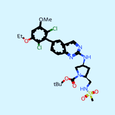 CCOc1cc(OC)c(Cl)c(-c2ccc3nc(N[C@H]4C[C@@H](CNS(C)(=O)=O)N(C(=O)OC(C)(C)C)C4)ncc3c2)c1Cl